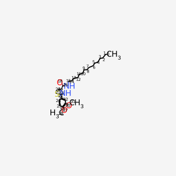 CCCCCCCCCCCCCCCCNC(=O)[C@@H]1CSC(c2ccc(OC)c(OC)c2)N1